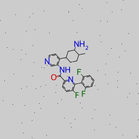 CC1CCC(c2ccncc2NC(=O)c2ccc(F)c(-c3c(F)cccc3F)n2)CC1N